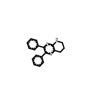 [CH]1[CH]c2nc(-c3ccccc3)c(-c3ccccc3)nc2NC1